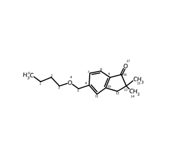 CCCCOCc1ccc2c(c1)CC(C)(C)C2=O